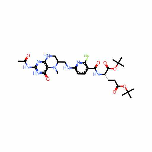 CC(=O)Nc1nc2c(c(=O)[nH]1)N(C)C(CNc1ccc(C(=O)N[C@@H](CCC(=O)OC(C)(C)C)C(=O)OC(C)(C)C)c([18F])n1)CN2